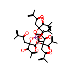 C=C(C)C(=O)CC(OP(=O)(OC(CC(=O)C(=C)C)(C(=O)C(=C)C)C(=O)C(=C)C)OC(CC(=O)C(=C)C)(C(=O)C(=C)C)C(=O)C(=C)C)(C(=O)C(=C)C)C(=O)C(=C)C